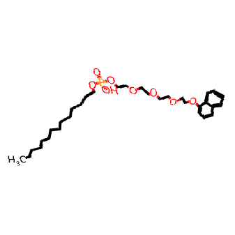 CCCCCCCCCCCCCCOP(=O)(O)OCCOCCOCCOCCOc1cccc2ccccc12